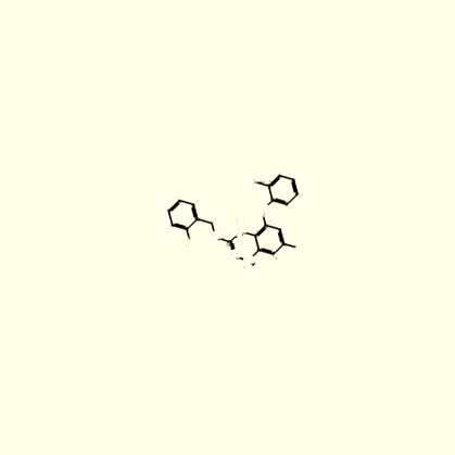 O=S1(=O)N=C(NCc2ccccc2F)Nc2c(Oc3ccccc3Cl)cc(F)cc21